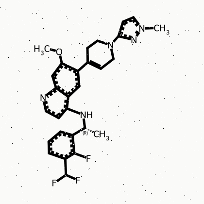 COc1cc2nccc(N[C@H](C)c3cccc(C(F)F)c3F)c2cc1C1=CCN(c2ccn(C)n2)CC1